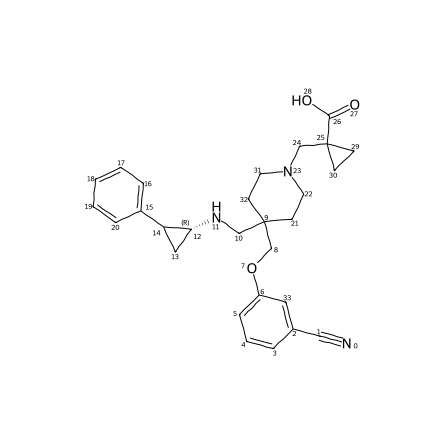 N#Cc1cccc(OCC2(CN[C@@H]3CC3c3ccccc3)CCN(CC3(C(=O)O)CC3)CC2)c1